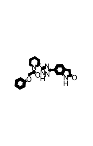 O=C1Cc2ccc(-c3n[nH]c([C@H]4CCCCN4C(=O)COc4ccccc4)n3)cc2N1